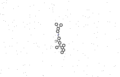 CCC1(CC)c2cc(/C=C/c3ccc4cc(-c5ccccc5)c(-c5ccccc5)cc4c3)ccc2-c2ccc(N(c3ccccc3)c3cc4c5ccccc5ccc4c4ccccc34)cc21